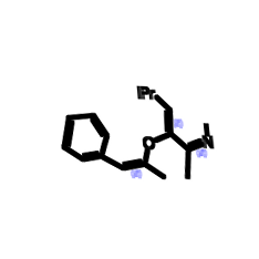 C/N=C(C)\C(=C\C(C)C)O/C(C)=C\c1ccccc1